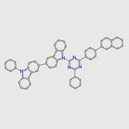 c1ccc(-c2nc(-c3ccc(-c4ccc5ccccc5c4)cc3)nc(-n3c4ccccc4c4cc(-c5ccc6c(c5)c5ccccc5n6-c5ccccc5)ccc43)n2)cc1